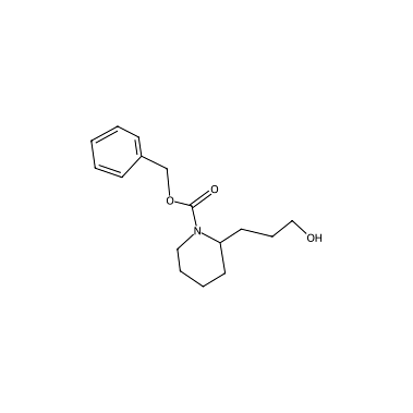 O=C(OCc1ccccc1)N1CCCCC1CCCO